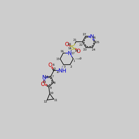 C[C@@H]1C[C@H](NC(=O)c2cc(C3CC3)on2)CCN1S(=O)(=O)Cc1cccnc1